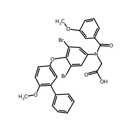 COc1cccc(C(=O)N(CC(=O)O)c2cc(Br)c(Oc3ccc(OC)c(-c4ccccc4)c3)c(Br)c2)c1